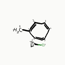 [CH2]c1ccccc1.[Cl][Zr]